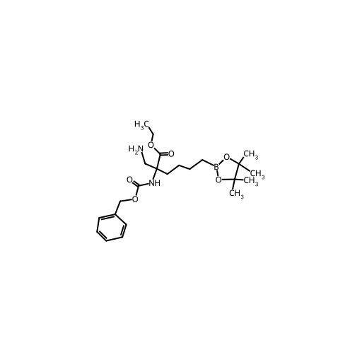 CCOC(=O)C(CN)(CCCCB1OC(C)(C)C(C)(C)O1)NC(=O)OCc1ccccc1